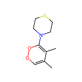 CC1=COOC(N2CCSCC2)=C1C